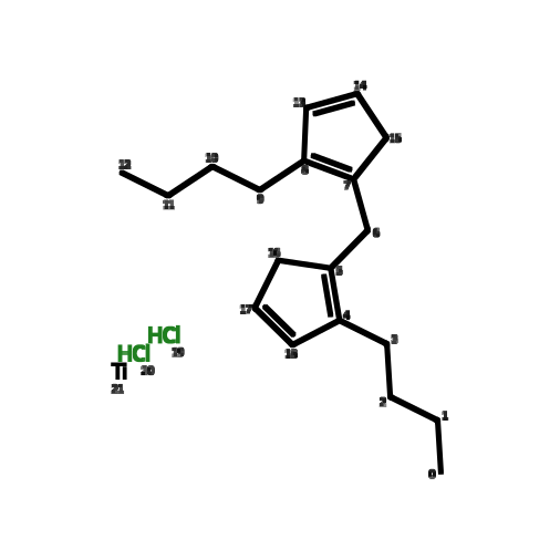 CCCCC1=C(CC2=C(CCCC)C=CC2)CC=C1.Cl.Cl.[Ti]